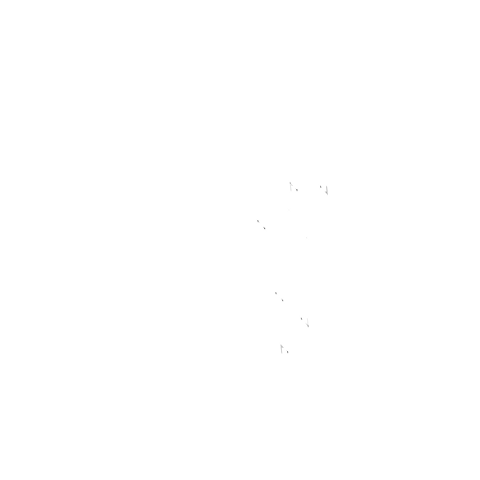 c1ccc2c(c1)nnn2-c1cnc2[nH]ncc2c1